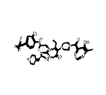 CCc1c(N2CCN(C(=O)c3ncnc(C)c3O)CC2)c(=O)n2nc(C=C3CCOCC3)nc2n1CC(=O)Nc1ccc(C(F)(F)F)cc1Cl